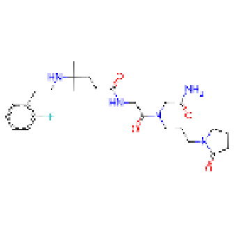 CC(C)(CCC(=O)NCC(=O)N(CCCN1CCCC1=O)CC(N)=O)NCCc1ccccc1F